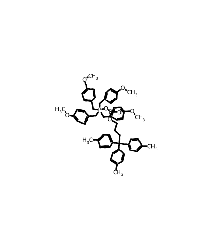 COc1ccc(CP(Cc2ccc(OC)cc2)(Cc2ccc(OC)cc2)(Cc2ccc(OC)cc2)OB(O)OCCCC(c2ccc(C)cc2)(c2ccc(C)cc2)c2ccc(C)cc2)cc1